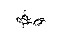 O=C(N1N=CCC1c1cc(F)cc(F)c1)C12CC(COc3cn4ccnc4cn3)(C1)C2